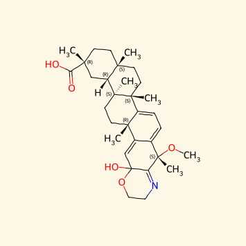 CO[C@@]1(C)C2=CC=C3[C@@](C)(CC[C@@]4(C)[C@@H]5C[C@](C)(C(=O)O)CC[C@]5(C)CC[C@]34C)C2=CC2(O)OCCN=C21